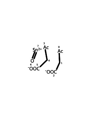 CC(=O)CC(=O)[O-].CC(=O)CC(=O)[O-].[O]=[Sn+2]